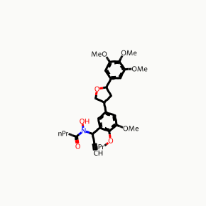 C#CC(c1cc(C2COC(c3cc(OC)c(OC)c(OC)c3)C2)cc(OC)c1OCCC)N(O)C(=O)CCC